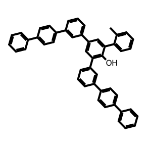 Cc1ccccc1-c1cc(-c2cccc(-c3ccc(-c4ccccc4)cc3)c2)cc(-c2cccc(-c3ccc(-c4ccccc4)cc3)c2)c1O